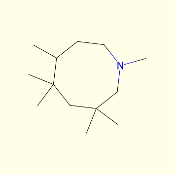 CC1CCN(C)CC(C)(C)CC1(C)C